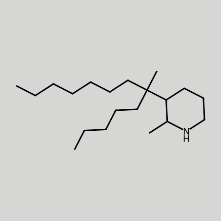 CCCCCCCC(C)(CCCCC)C1CCCNC1C